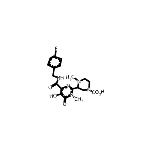 CN1CCN(C(=O)O)CC1c1nc(C(=O)NCc2ccc(F)cc2)c(O)c(=O)n1C